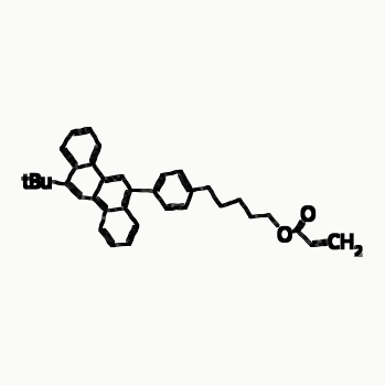 C=CC(=O)OCCCCCc1ccc(-c2cc3c4ccccc4c(C(C)(C)C)cc3c3ccccc23)cc1